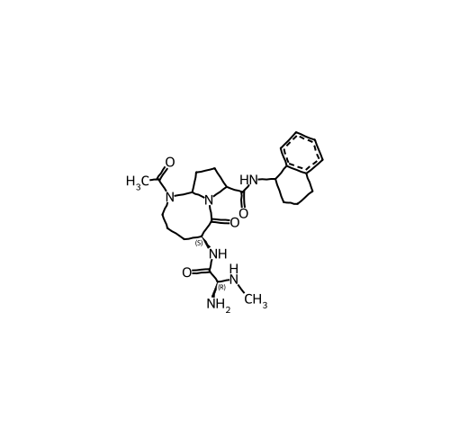 CN[C@@H](N)C(=O)N[C@H]1CCCN(C(C)=O)C2CCC(C(=O)NC3CCCc4ccccc43)N2C1=O